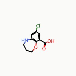 O=C(O)c1cc(Cl)cc2c1OCCCN2